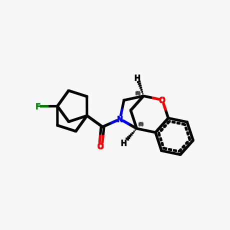 O=C(N1C[C@@H]2C[C@H]1c1ccccc1O2)C12CCC(F)(CC1)C2